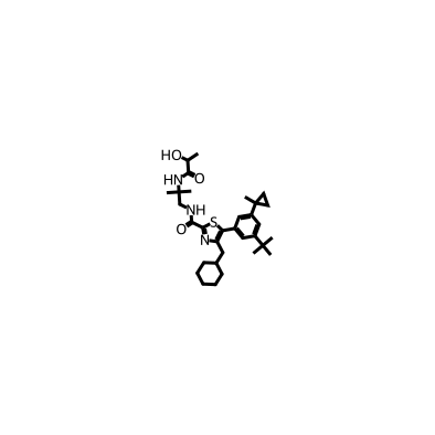 CC(O)C(=O)NC(C)(C)CNC(=O)c1nc(CC2CCCCC2)c(-c2cc(C(C)(C)C)cc(C3(C)CC3)c2)s1